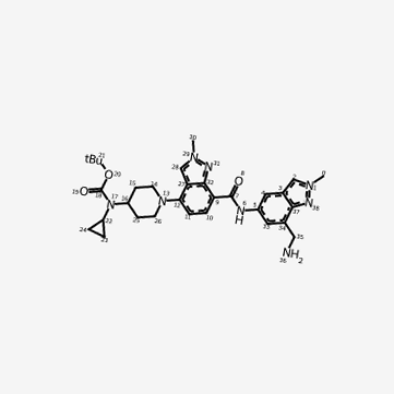 Cn1cc2cc(NC(=O)c3ccc(N4CCC(N(C(=O)OC(C)(C)C)C5CC5)CC4)c4cn(C)nc34)cc(CN)c2n1